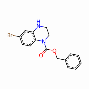 O=C(OCc1ccccc1)N1CCNc2cc(Br)ccc21